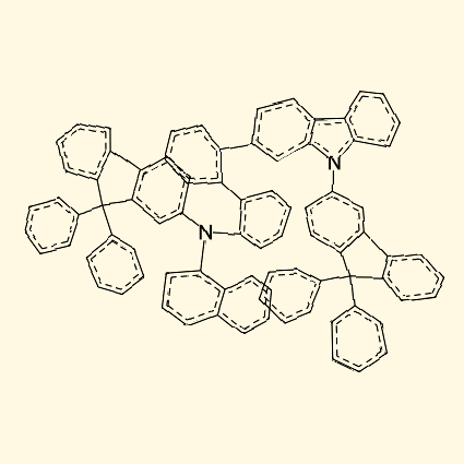 c1ccc(C2(c3ccccc3)c3ccccc3-c3cc(-n4c5ccccc5c5ccc(-c6ccccc6-c6ccccc6N(c6ccc7c(c6)C(c6ccccc6)(c6ccccc6)c6ccccc6-7)c6cccc7ccccc67)cc54)ccc32)cc1